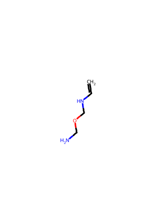 C=CNCOCN